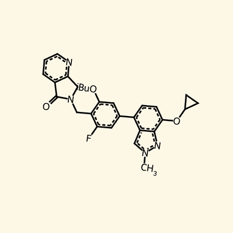 CC(C)COc1cc(-c2ccc(OC3CC3)c3nn(C)cc23)cc(F)c1CN1Cc2ncccc2C1=O